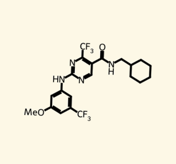 COc1cc(Nc2ncc(C(=O)NCC3CCCCC3)c(C(F)(F)F)n2)cc(C(F)(F)F)c1